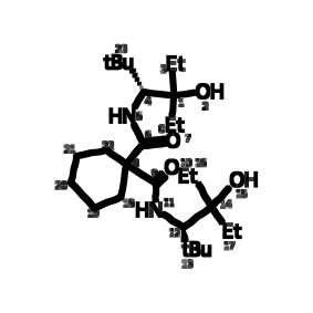 CCC(O)(CC)[C@H](NC(=O)C1(C(=O)N[C@H](C(C)(C)C)C(O)(CC)CC)CCCCC1)C(C)(C)C